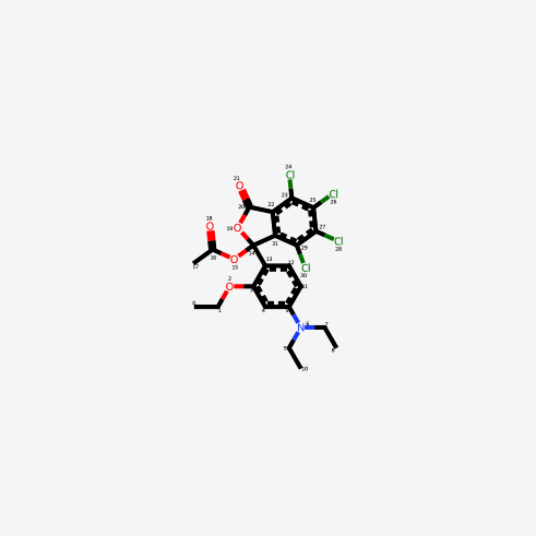 CCOc1cc(N(CC)CC)ccc1C1(OC(C)=O)OC(=O)c2c(Cl)c(Cl)c(Cl)c(Cl)c21